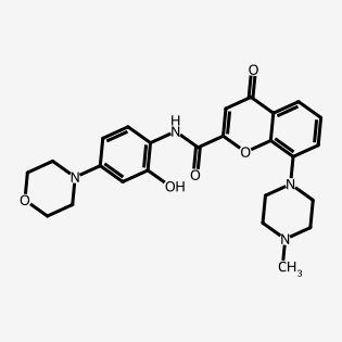 CN1CCN(c2cccc3c(=O)cc(C(=O)Nc4ccc(N5CCOCC5)cc4O)oc23)CC1